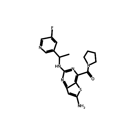 CC(Nc1nc(C(=O)N2CCCC2)c2sc(N)cc2n1)c1cncc(F)c1